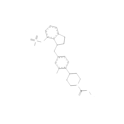 CCc1cc(CC2CCc3cccc(OS(=O)(=O)C(F)(F)F)c32)ccc1C1CCN(C(=O)OC(C)(C)C)CC1